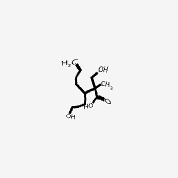 CCCC(CCO)C(C)(CO)C(=O)O